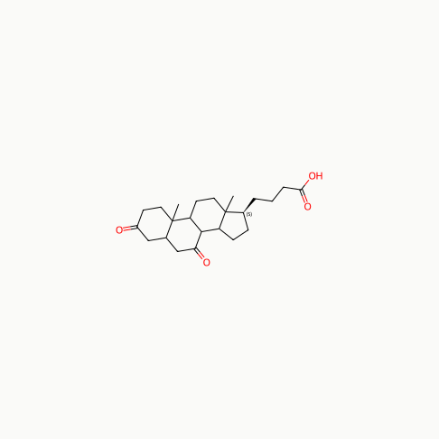 CC12CCC(=O)CC1CC(=O)C1C2CCC2(C)C1CC[C@@H]2CCCC(=O)O